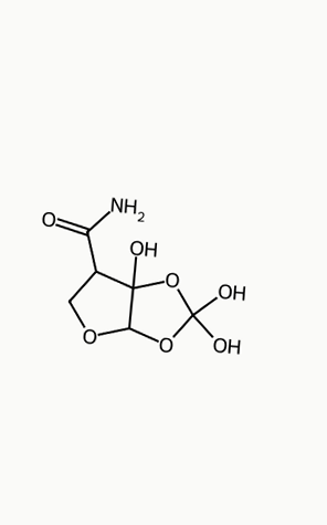 NC(=O)C1COC2OC(O)(O)OC21O